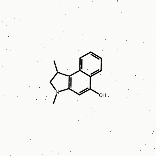 CC1CN(C)c2cc(O)c3ccccc3c21